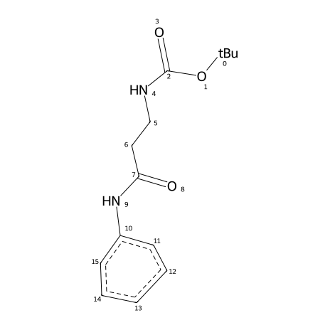 CC(C)(C)OC(=O)NCCC(=O)Nc1ccccc1